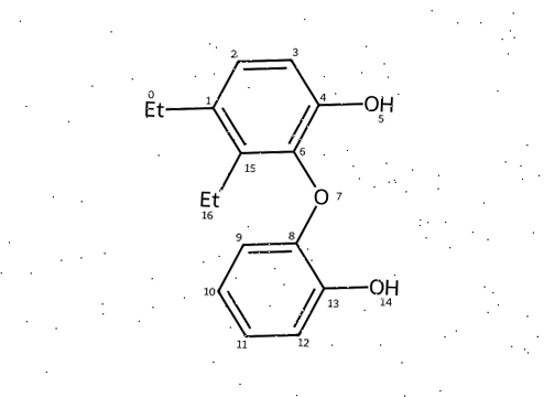 CCc1ccc(O)c(Oc2ccccc2O)c1CC